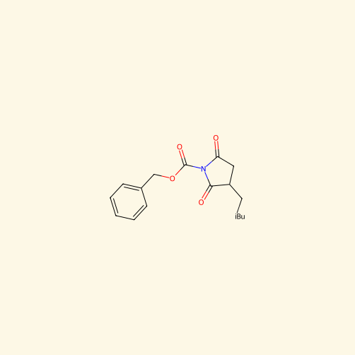 CCC(C)CC1CC(=O)N(C(=O)OCc2ccccc2)C1=O